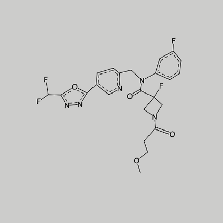 COCCC(=O)N1CC(F)(C(=O)N(Cc2ccc(-c3nnc(C(F)F)o3)cn2)c2cccc(F)c2)C1